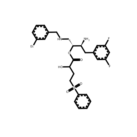 CCc1cccc(CNC[C@@H](OC(=O)C(O)CCS(=O)(=O)c2ccccc2)[C@@H](N)Cc2cc(F)cc(F)c2)c1